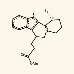 CC[C@@H]1CCC[N+]2=C1c1[nH]c3ccccc3c1C(CCC(=O)OC)C2